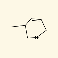 CC1C=CC[N]C1